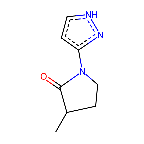 CC1CCN(c2cc[nH]n2)C1=O